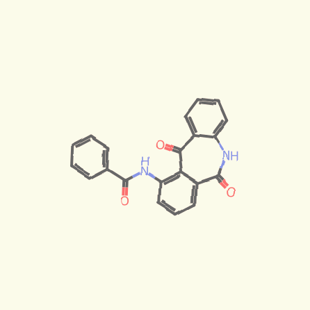 O=C(Nc1cccc2c(=O)[nH]c3ccccc3c(=O)c12)c1ccccc1